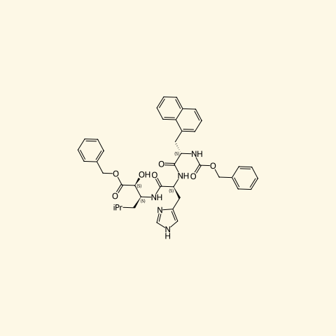 CC(C)C[C@H](NC(=O)[C@H](Cc1c[nH]cn1)NC(=O)[C@H](Cc1cccc2ccccc12)NC(=O)OCc1ccccc1)[C@H](O)C(=O)OCc1ccccc1